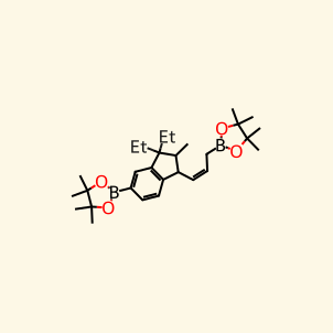 CCC1(CC)c2cc(B3OC(C)(C)C(C)(C)O3)ccc2C(/C=C\CB2OC(C)(C)C(C)(C)O2)C1C